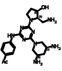 CC(=O)c1ccc(Nc2nc(N3C[C@H](N)C[C@H](N)C3)nc(N3CC[C@@H](O)[C@H]3CN)n2)cc1